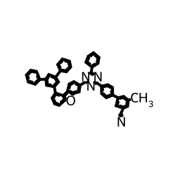 Cc1cc(C#N)cc(-c2ccc(-c3nc(-c4ccccc4)nc(-c4ccc5c(c4)oc4cccc(-c6cc(-c7ccccc7)cc(-c7ccccc7)c6)c45)n3)cc2)c1